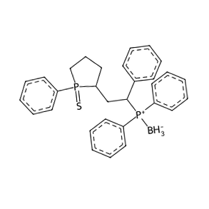 [BH3-][P+](c1ccccc1)(c1ccccc1)C(CC1CCCP1(=S)c1ccccc1)c1ccccc1